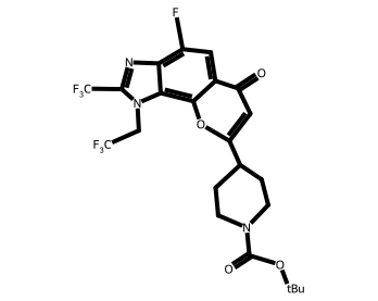 CC(C)(C)OC(=O)N1CCC(c2cc(=O)c3cc(F)c4nc(C(F)(F)F)n(CC(F)(F)F)c4c3o2)CC1